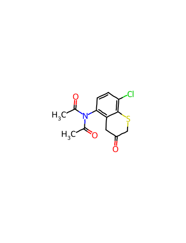 CC(=O)N(C(C)=O)c1ccc(Cl)c2c1CC(=O)CS2